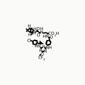 C[C@H]1[C@H]2C[C@@H](C[C@H]1NC(=O)C(=O)NCC[C@H](NC(=O)c1ccc(Nc3nc(NC4(c5ccc(Cl)cc5)CC4)nc(OCC(F)(F)F)n3)cc1)C(=O)O)C2(C)C